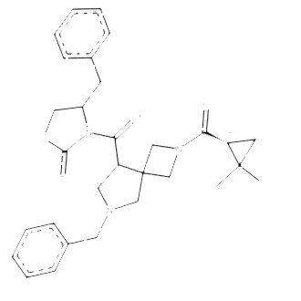 CC1(C)C[C@@H]1C(=O)N1CC2(CN(Cc3ccccc3)CC2C(=O)N2C(=O)OCC2Cc2ccccc2)C1